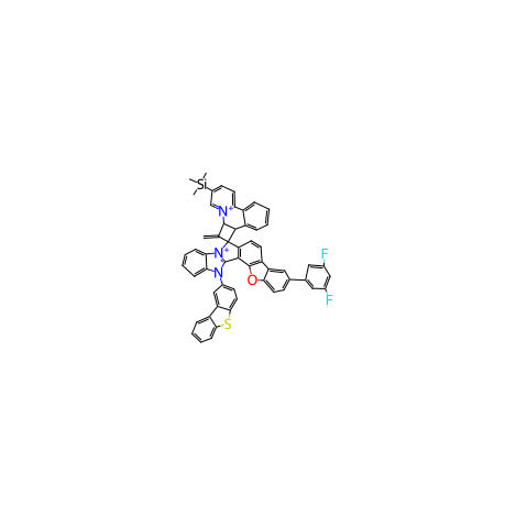 C=C1C2C(c3ccccc3-c3ccc([Si](C)(C)C)c[n+]32)C12c1ccc3c(oc4ccc(-c5cc(F)cc(F)c5)cc43)c1-c1n(-c3ccc4sc5ccccc5c4c3)c3ccccc3[n+]12